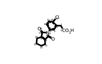 O=C(O)Cc1cc(N2C(=O)C3=C(CCCC3)C2=O)ccc1Cl